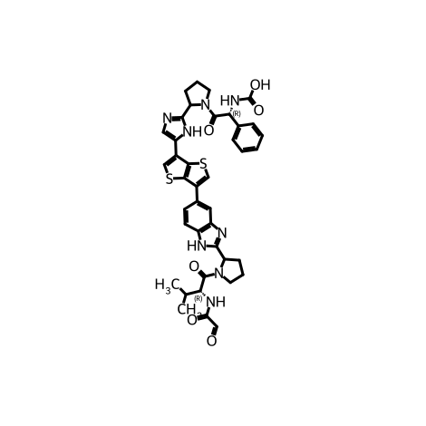 CC(C)[C@@H](NC(=O)C=O)C(=O)N1CCCC1c1nc2cc(-c3csc4c(-c5cnc(C6CCCN6C(=O)[C@H](NC(=O)O)c6ccccc6)[nH]5)csc34)ccc2[nH]1